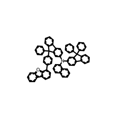 c1ccc(C2(c3ccccc3)c3ccccc3-c3ccc(N(c4ccc5c(c4)C(c4ccccc4)(c4ccc(-c6cccc7c6oc6ccccc67)cc4)c4ccccc4-5)c4cccc5ccccc45)cc32)cc1